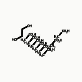 CC(=O)O.CC(=O)O.CC(=O)O.CC(=O)O.CC(=O)O.CC(=O)O.CC(=O)O.CC(=O)O.OCCO